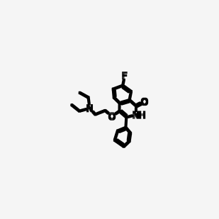 CCN(CC)CCOc1c(-c2ccccc2)[nH]c(=O)c2cc(F)ccc12